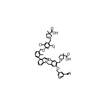 COc1cc(OCc2cccc(-c3cccc4c3cnn4Cc3cc(OCc4cncc(C#N)c4)c(CN4CCC(C)(C(=O)O)C4)cc3Cl)c2C)c(Cl)cc1CN1CCC(C)(C(=O)O)C1